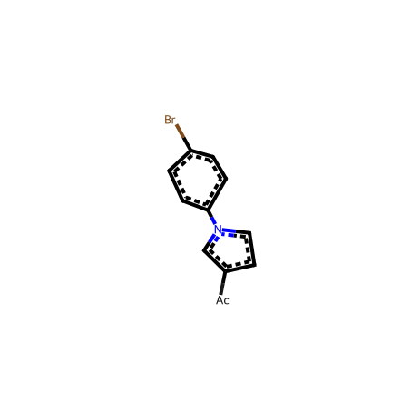 CC(=O)c1ccn(-c2ccc(Br)cc2)c1